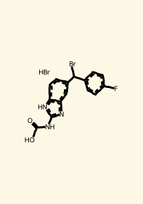 Br.O=C(O)Nc1nc2cc(C(Br)c3ccc(F)cc3)ccc2[nH]1